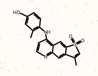 CC1=CS(=O)(=O)c2cc3c(Nc4ccc(O)cc4C)ccnc3cc21